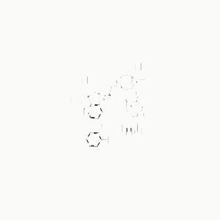 CC1COCCN1C[C@H]1CN[C@H](C)CN1CC(=O)N1CC(C)(C)c2ncc(Cc3ccc(F)cc3F)cc21.Cl.Cl